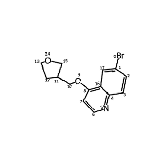 Brc1ccc2nccc(OCC3CCOC3)c2c1